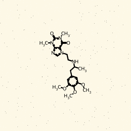 COc1cc(CC(C)NCCn2cnc3c2c(=O)n(C)c(=O)n3C)cc(OC)c1OC